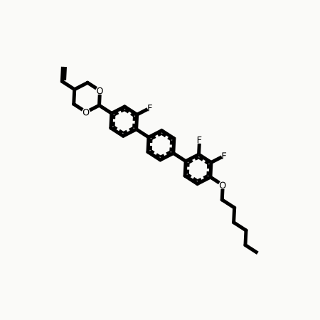 C=CC1COC(c2ccc(-c3ccc(-c4ccc(OCCCCCC)c(F)c4F)cc3)c(F)c2)OC1